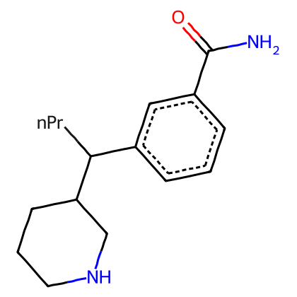 CCCC(c1cccc(C(N)=O)c1)C1CCCNC1